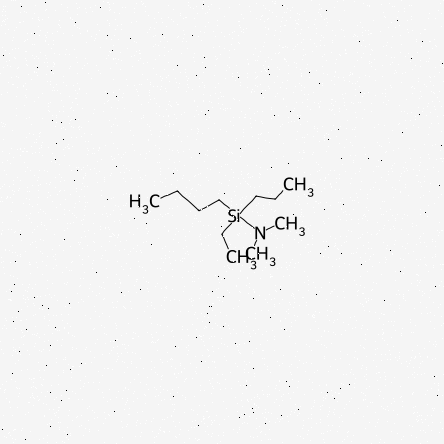 CCCC[Si](CC)(CCC)N(C)C